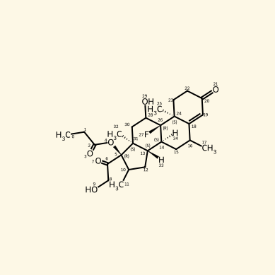 CCC(=O)O[C@]1(C(=O)CO)C(C)C[C@H]2[C@@H]3CC(C)C4=CC(=O)CC[C@]4(C)[C@@]3(F)C(O)C[C@@]21C